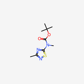 Cc1nsc(N(C)C(=O)OC(C)(C)C)n1